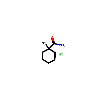 Cl.N#CC1(C(N)=O)CCCCC1